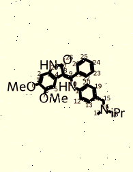 COc1cc2c(cc1OC)C(=C(Nc1ccc(CN(C)C(C)C)cc1)c1ccccc1)C(=O)N2